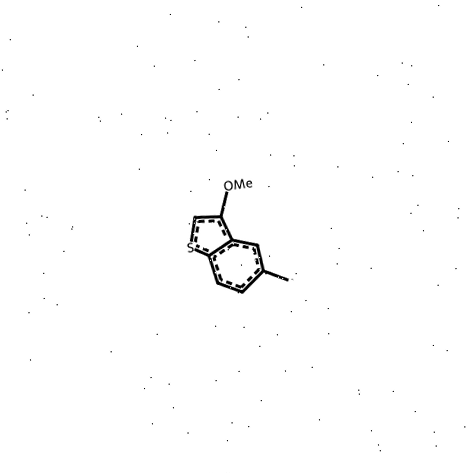 [CH2]c1ccc2scc(OC)c2c1